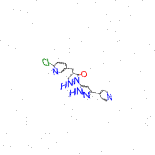 O=C1C(Cc2ccc(Cl)nc2)CNN1c1cc(-c2ccncc2)n[nH]1